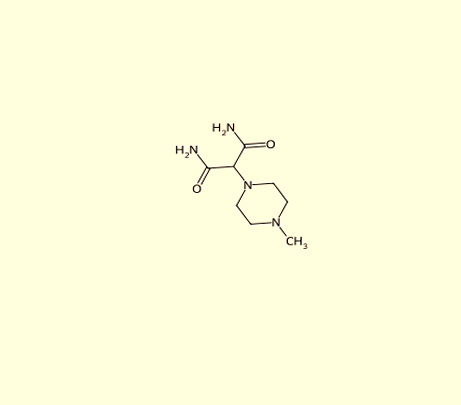 CN1CCN(C(C(N)=O)C(N)=O)CC1